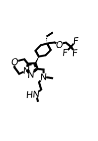 CC[C@]1(COCC(F)(F)F)CC[C@@H](c2c(CN(C)CCNC)nn3c2COCC3)CC1